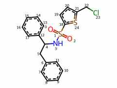 O=S(=O)(NC(Cc1ccccc1)c1ccccc1)c1ccc(CCl)s1